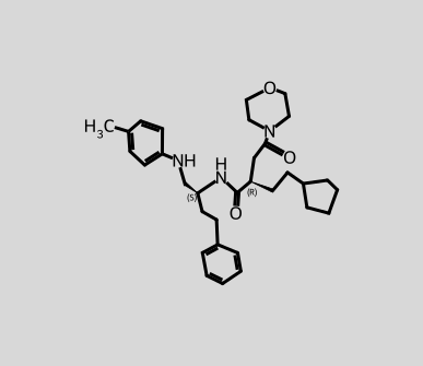 Cc1ccc(NC[C@H](CCc2ccccc2)NC(=O)[C@H](CCC2CCCC2)CC(=O)N2CCOCC2)cc1